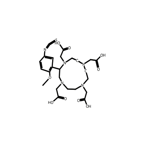 COc1ccc(N=C=S)cc1C1CN(CC(=O)O)CCN(CC(=O)O)CCN(CC(=O)O)CCN1CC(=O)O